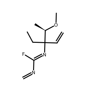 C=CC(CC)(N=C(F)N=C)[C@@H](C)OC